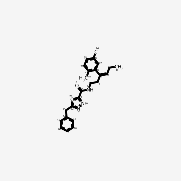 CC/C=C(/CCNC(=O)c1nnc(Cc2ccccc2)o1)c1cc(Cl)ccc1C